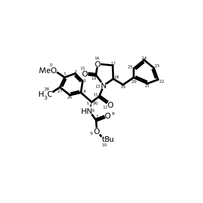 COc1ccc([C@@H](NC(=O)OC(C)(C)C)C(=O)N2C(=O)OCC2Cc2ccccc2)cc1C